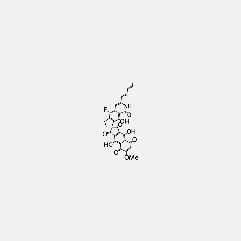 CC=CC=Cc1cc2c(F)c3c(c(O)c2c(=O)[nH]1)[C@@]1(CC3)C(=O)c2c(O)c3c(c(O)c2C1=O)C(=O)C(OC)=CC3=O